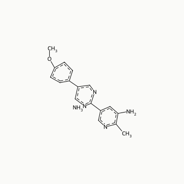 COc1ccc(-c2cnc(-c3cnc(C)c(N)c3)nc2)cc1.N